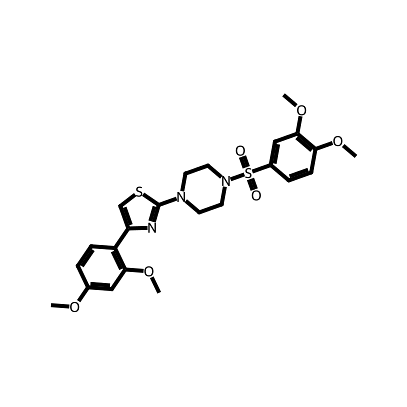 COc1ccc(-c2csc(N3CCN(S(=O)(=O)c4ccc(OC)c(OC)c4)CC3)n2)c(OC)c1